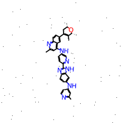 CC1=C(c2ccc3nc(C)cc(Nc4ccc(-c5nc6ccc(Nc7ccnc(C)c7)cc6[nH]5)nc4)c3c2)C[C@H](C)O[C@@H]1C